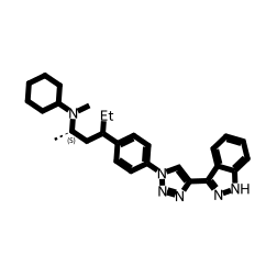 CCC(C[C@H](C)N(C)C1CCCCC1)c1ccc(-n2cc(-c3n[nH]c4ccccc34)nn2)cc1